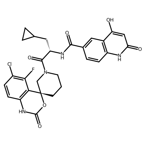 O=C1Nc2ccc(Cl)c(F)c2[C@@]2(CCCN(C(=O)[C@H](CC3CC3)NC(=O)c3ccc4[nH]c(=O)cc(O)c4c3)C2)O1